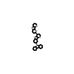 c1cnc2c(c1)sc1ccc(-c3ccnc4c3oc3ccc(-n5c6ccccc6c6ccccc65)cc34)nc12